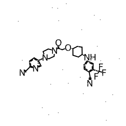 N#Cc1ccc(N2CCN(C(=O)CO[C@H]3CC[C@H](Nc4ccc(C#N)c(C(F)(F)F)c4)CC3)CC2)cn1